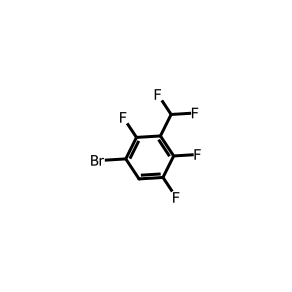 Fc1cc(Br)c(F)c(C(F)F)c1F